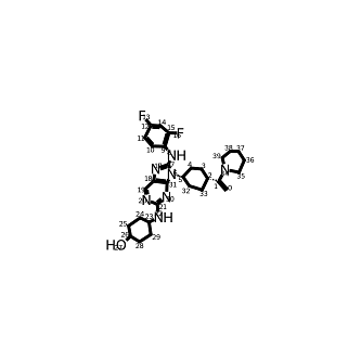 C=C([C@H]1CC[C@@H](n2c(Nc3ccc(F)cc3F)nc3cnc(NC4CCC(O)CC4)nc32)CC1)N1CCCCC1